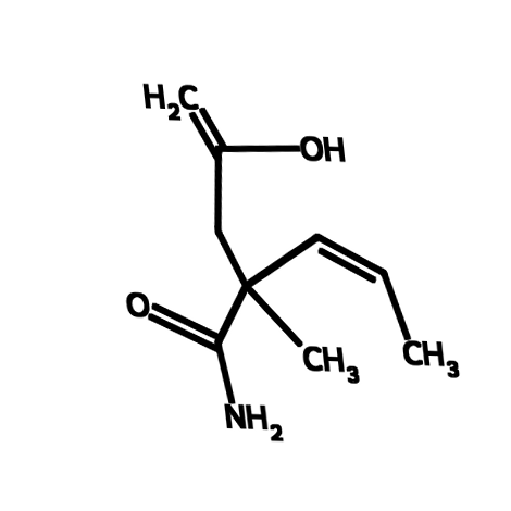 C=C(O)CC(C)(/C=C\C)C(N)=O